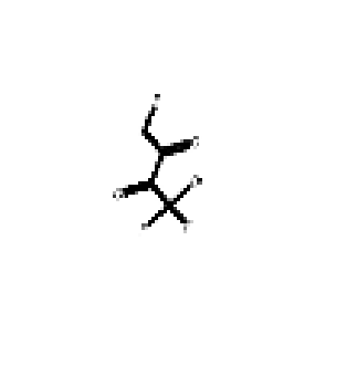 O=C(CF)C(=O)C(F)(F)Br